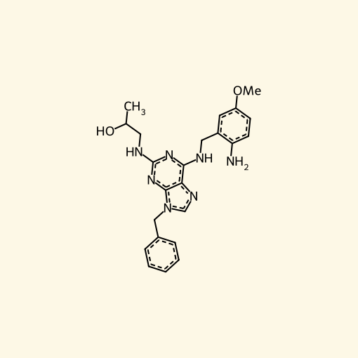 COc1ccc(N)c(CNc2nc(NCC(C)O)nc3c2ncn3Cc2ccccc2)c1